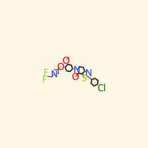 COc1cc(-n2ccc3nc(-c4ccc(Cl)cc4)sc3c2=O)ccc1OC1CN(CC(F)F)C1